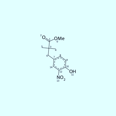 COC(=O)C(C)(C)Cc1ccc(O)c([N+](=O)[O-])c1